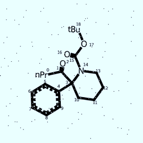 CCCC(=O)C1(c2ccccc2)CCCCN1C(=O)OC(C)(C)C